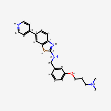 CN(C)CCCOc1cccc(CNc2nc3ccc(-c4ccncc4)cc3s2)c1